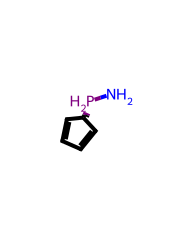 N[PH2]=C1C=CC=C1